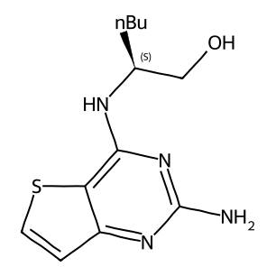 CCCC[C@@H](CO)Nc1nc(N)nc2ccsc12